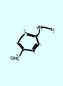 CCNc1ccc(C=O)cn1